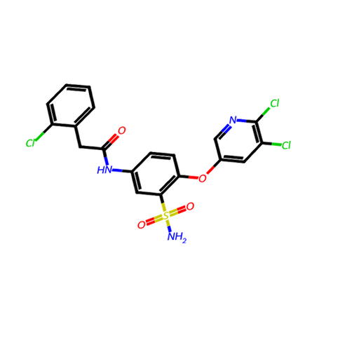 NS(=O)(=O)c1cc(NC(=O)Cc2ccccc2Cl)ccc1Oc1cnc(Cl)c(Cl)c1